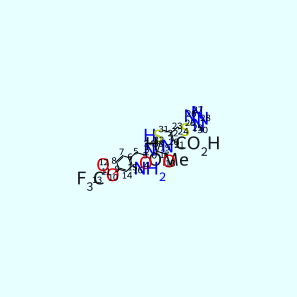 CO[C@@]1(NC(=O)Cc2ccc(OC(=O)C(F)(F)F)cc2N)C(=O)N2C(C(=O)O)=C(CSc3nnnn3C)CS[C@H]21